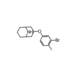 Cc1ccc(OC2CC3CCCC(C2)N3)cc1Br